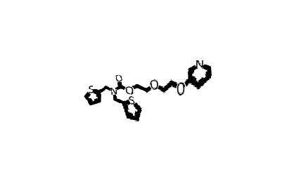 O=C(OCCOCCOc1cccnc1)N(Cc1cccs1)Cc1cccs1